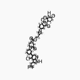 O=C1CCC(N2C(=O)c3ccc(N4CC(CCOC(=O)N5CCN(c6cccc(-c7cnc8[nH]cc(CC(F)F)c8c7Cl)c6)C(=O)C5)C4)cc3C2=O)C(=O)N1